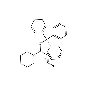 [Li]/[CH]=C/C(OC(c1ccccc1)(c1ccccc1)c1ccccc1)C1CCCCC1